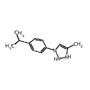 CC1=CN(c2ccc(C(C)C)cc2)NN1